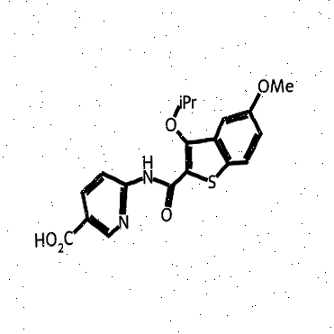 COc1ccc2sc(C(=O)Nc3ccc(C(=O)O)cn3)c(OC(C)C)c2c1